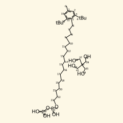 Cc1cc(C(C)(C)C)c(CCCCCCCCCCCCCCCCCCOP(O)OP(O)O)c(C(C)(C)C)c1.OCC(CO)(CO)CO